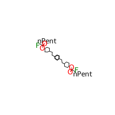 CCCCC[C@H](F)C(=O)OC1CCC(CCc2ccc(CCC3CCC(OC(=O)[C@@H](F)CCCCC)CC3)cc2)CC1